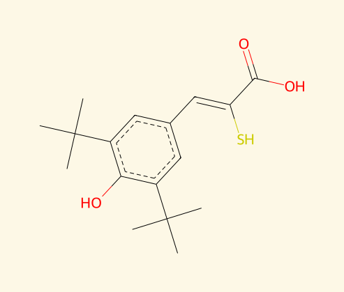 CC(C)(C)c1cc(C=C(S)C(=O)O)cc(C(C)(C)C)c1O